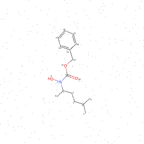 [CH2]C(CCC(C)C)N(O)C(=O)OCc1ccccc1